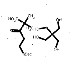 CCCCCCCCCCCCC(=S)C(C)(C)C(=O)O.OCC(CO)(CO)CO